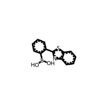 OB(O)c1ccccc1-c1nc2ccccc2s1